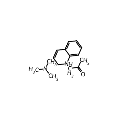 C1=Cc2ccccc2NC1.CC(C)=O.CN(C)C